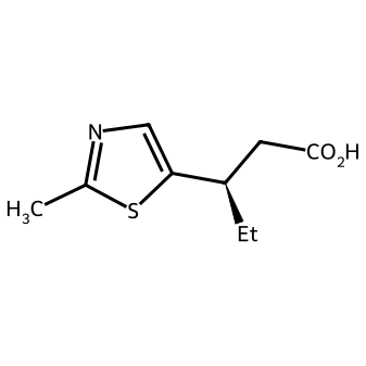 CC[C@H](CC(=O)O)c1cnc(C)s1